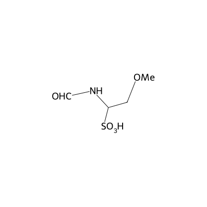 COCC(NC=O)S(=O)(=O)O